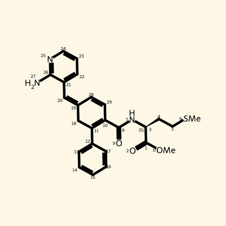 COC(=O)[C@H](CCSC)NC(=O)C1=C(c2ccccc2)CC(=Cc2cccnc2N)C=C1